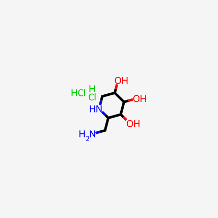 Cl.Cl.NCC1NCC(O)C(O)C1O